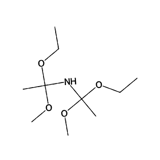 CCOC(C)(NC(C)(OC)OCC)OC